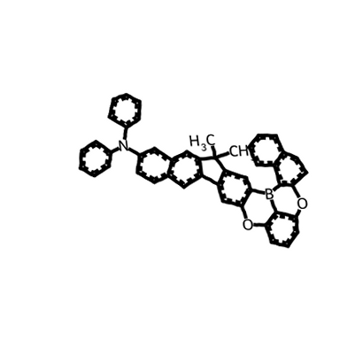 CC1(C)c2cc3c(cc2-c2cc4ccc(N(c5ccccc5)c5ccccc5)cc4cc21)Oc1cccc2c1B3c1c(ccc3ccccc13)O2